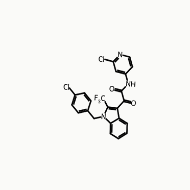 O=C(Nc1ccnc(Cl)c1)C(=O)c1c(C(F)(F)F)n(Cc2ccc(Cl)cc2)c2ccccc12